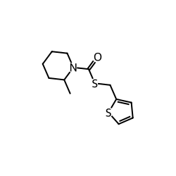 CC1CCCCN1C(=O)SCc1cccs1